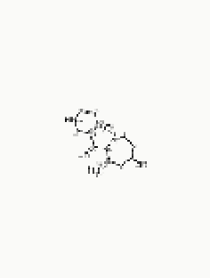 CCC1CC[C@@H](C)N(C(=O)C2=CC=CNC2)C(C)C1